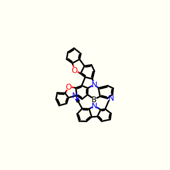 N#Cc1cccc2c3cccc(C#N)c3n(B3c4ccccc4-n4c5ccc6c7ccccc7oc6c5c5c6oc7ccccc7c6cc3c54)c12